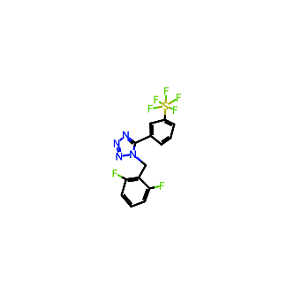 Fc1cccc(F)c1Cn1nnnc1-c1cccc(S(F)(F)(F)(F)F)c1